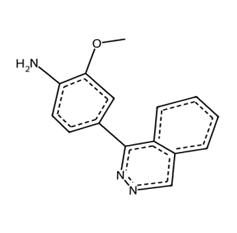 COc1cc(-c2nncc3ccccc23)ccc1N